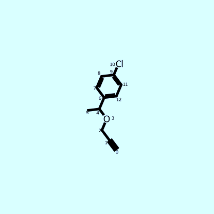 C#CCOC(C)c1ccc(Cl)cc1